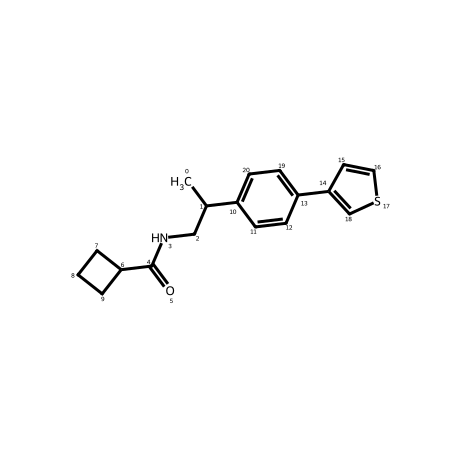 CC(CNC(=O)C1CCC1)c1ccc(-c2ccsc2)cc1